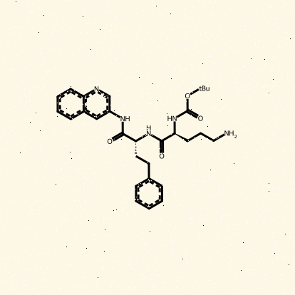 CC(C)(C)OC(=O)N[C@@H](CCCN)C(=O)N[C@H](CCc1ccccc1)C(=O)Nc1cnc2ccccc2c1